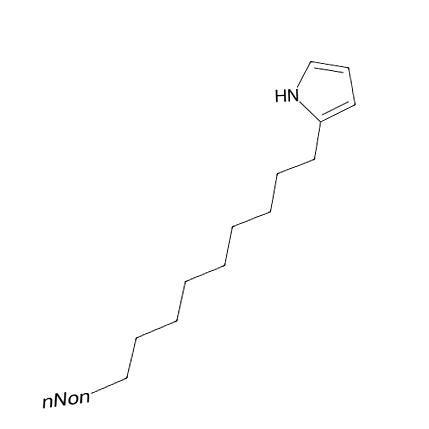 CCCCCCCCCCCCCCCCCCc1ccc[nH]1